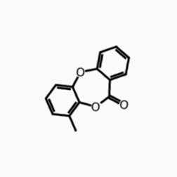 Cc1cccc2c1OC(=O)c1ccccc1O2